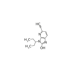 C#Cc1ccc2nc(O)n(C(CC)CC)c2n1